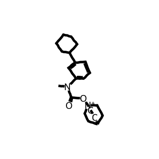 CN(C(=O)O[N+]12CCC(CC1)CC2)c1cccc(C2CCCCC2)c1